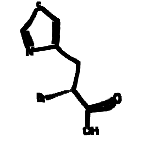 O=C(O)[C@H](Br)Cc1cscn1